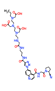 CCCN(CCN(CCN(CCNCC(=O)NCCCNC(=O)c1cn(-c2ccc3nccc(C(=O)NCC(=O)N4CCC[C@H]4C#N)c3c2)nn1)CC(=O)O)CC(=O)O)CC(=O)O